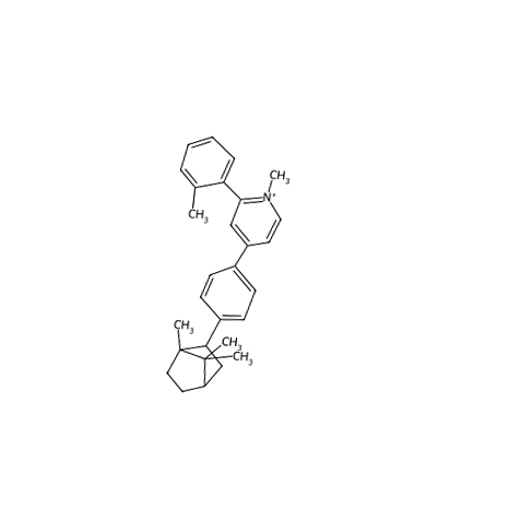 Cc1ccccc1-c1cc(-c2ccc(C3CC4CCC3(C)C4(C)C)cc2)cc[n+]1C